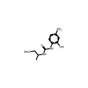 COCC(C)NC(=O)Nc1ccc([N+](=O)[O-])cc1O